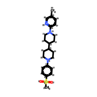 CS(=O)(=O)c1ccc(N2CCC(C3CCN(c4ccc(C(F)(F)F)cn4)CC3)CC2)cc1